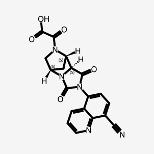 N#Cc1ccc(N2C(=O)[C@@H]3[C@@H]4C[C@@H](CN4C(=O)C(=O)O)N3C2=O)c2cccnc12